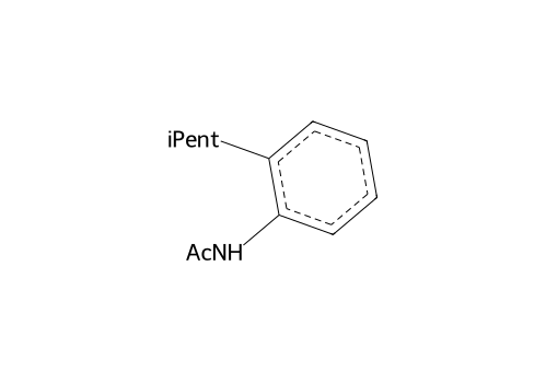 CCCC(C)c1ccccc1NC(C)=O